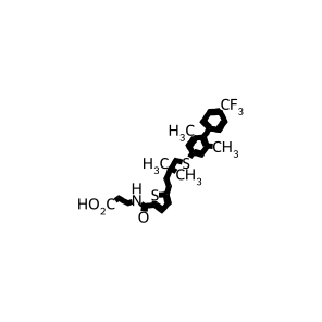 Cc1cc(SCC(C)(C)CCc2ccc(C(=O)NCCC(=O)O)s2)cc(C)c1-c1ccc(C(F)(F)F)cc1